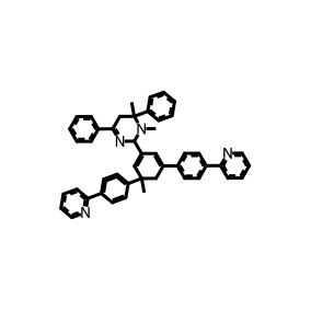 CN1C(C2=CC(C)(C3=C=C=C(c4ccccn4)C=C3)CC(c3ccc(-c4ccccn4)cc3)=C2)N=C(c2ccccc2)CC1(C)c1ccccc1